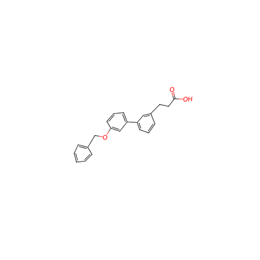 O=C(O)CCc1cccc(-c2cccc(OCc3ccccc3)c2)c1